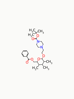 CC1C(COC(=O)c2ccccc2)OC(OCCN2CCN(C(=O)OC(C)(C)C)CC2)C(C)C1C